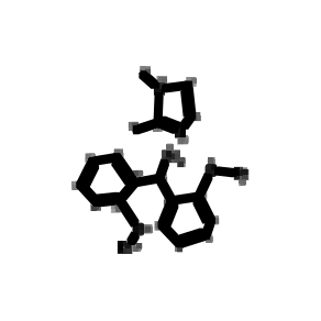 BC(c1ccccc1OCC)c1ccccc1OCC.Cc1nccn1C